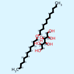 CCCCCCCCCCCCOCCCCCCCCCCCC.OCC(O)C(O)C(O)C(O)CO